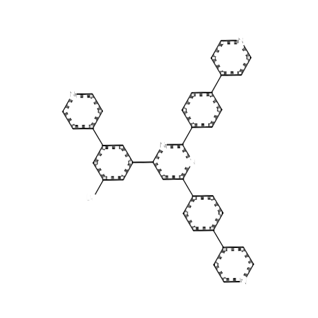 Brc1cc(-c2ccncc2)cc(-c2cc(-c3ccc(-c4ccncc4)cc3)nc(-c3ccc(-c4ccncc4)cc3)n2)c1